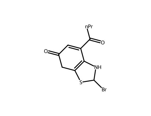 CCCC(=O)C1=CC(=O)CC2=C1NC(Br)S2